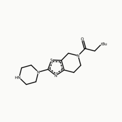 CC(C)(C)CC(=O)N1CCc2nc(N3CCNCC3)sc2C1